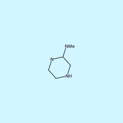 CNC1CNCC[N]1